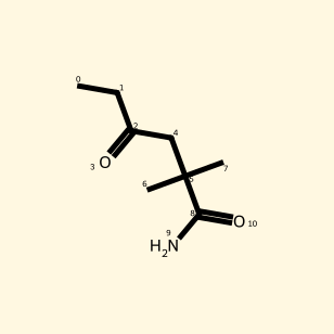 CCC(=O)CC(C)(C)C(N)=O